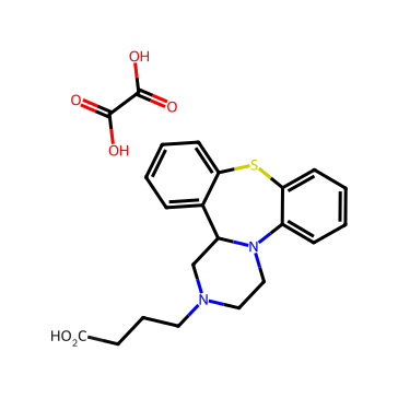 O=C(O)C(=O)O.O=C(O)CCCN1CCN2c3ccccc3Sc3ccccc3C2C1